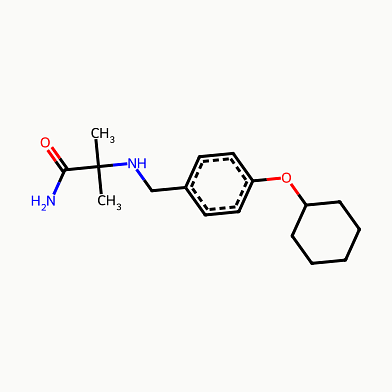 CC(C)(NCc1ccc(OC2CCCCC2)cc1)C(N)=O